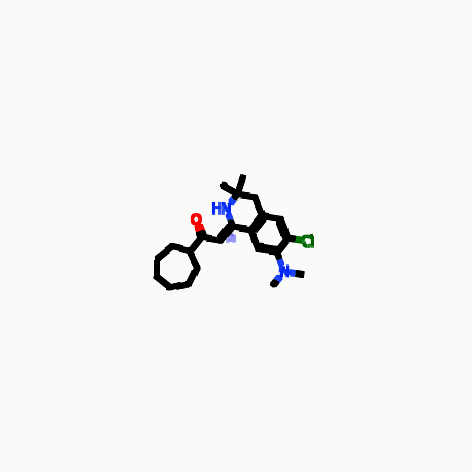 CN(C)c1cc2c(cc1Cl)CC(C)(C)N/C2=C\C(=O)C1CCCCCC1